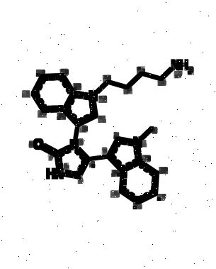 Cn1cc(-c2c[nH]c(=O)n2-c2cn(CCCCN)c3ccccc23)c2ccccc21